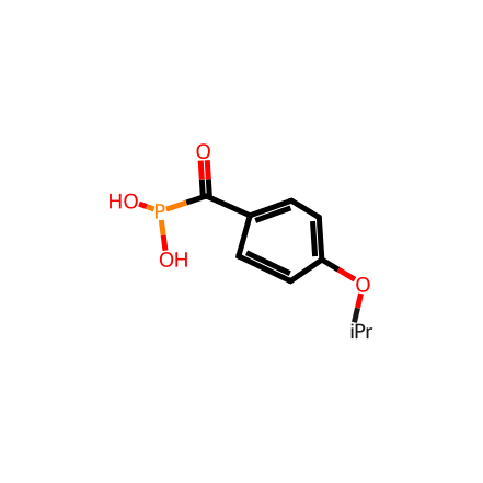 CC(C)Oc1ccc(C(=O)P(O)O)cc1